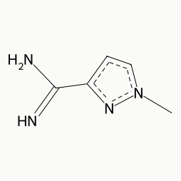 Cn1ccc(C(=N)N)n1